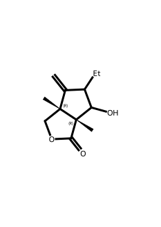 C=C1C(CC)C(O)[C@]2(C)C(=O)OC[C@]12C